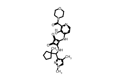 Cc1cn(C)nc1C(Nc1c(Nc2ccnc(C(=O)N3CCOCC3)c2O)c(=O)c1=O)C1(C)CCCC1